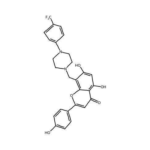 O=c1cc(-c2ccc(O)cc2)oc2c(CN3CCN(c4ccc(C(F)(F)F)cc4)CC3)c(O)cc(O)c12